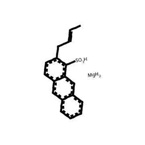 CC=CCc1ccc2cc3ccccc3cc2c1S(=O)(=O)O.[MgH2]